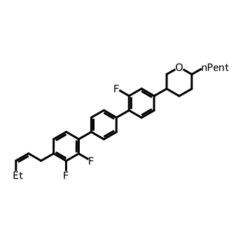 CC/C=C\Cc1ccc(-c2ccc(-c3ccc(C4CCC(CCCCC)OC4)cc3F)cc2)c(F)c1F